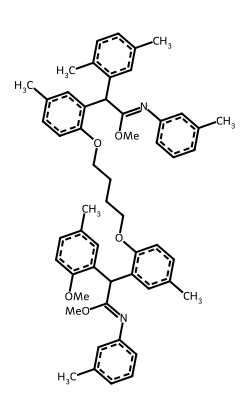 CO/C(=N\c1cccc(C)c1)C(c1cc(C)ccc1C)c1cc(C)ccc1OCCCCOc1ccc(C)cc1C(/C(=N/c1cccc(C)c1)OC)c1cc(C)ccc1OC